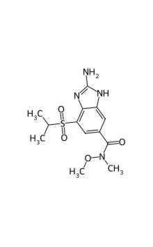 CON(C)C(=O)c1cc(S(=O)(=O)C(C)C)c2nc(N)[nH]c2c1